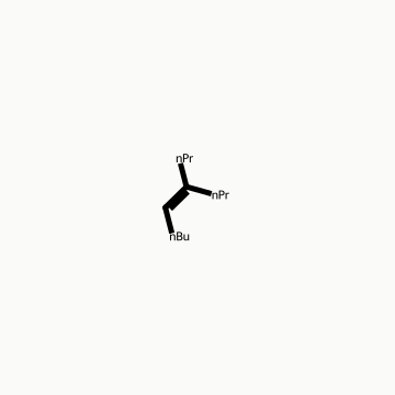 CCCCC=C(CCC)CCC